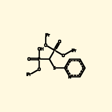 CC(C)OP(=O)(O)C(Sc1ccccn1)P(=O)(OC(C)C)OC(C)C